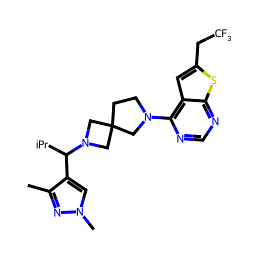 Cc1nn(C)cc1C(C(C)C)N1CC2(CCN(c3ncnc4sc(CC(F)(F)F)cc34)C2)C1